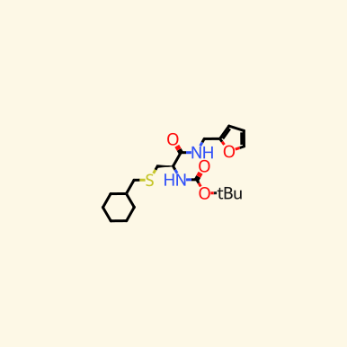 CC(C)(C)OC(=O)N[C@@H](CSCC1CCCCC1)C(=O)NCc1ccco1